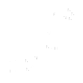 CC(C)c1noc(N2CCC(N(C)CCOc3ccc(-n4cnnn4)c(F)c3)CC2)n1